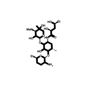 CC[C@H](O)C[C@H](O)C(=O)N[C@@H]1C[C@H](C)C(O[C@H]2O[C@H](CC)CCC2N)C(O)C1O[C@H]1OCC(C)(O)[C@H](NC)C1O